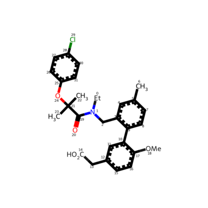 CCN(Cc1cc(C)ccc1-c1cc(CC(=O)O)ccc1OC)C(=O)C(C)(C)Oc1ccc(Cl)cc1